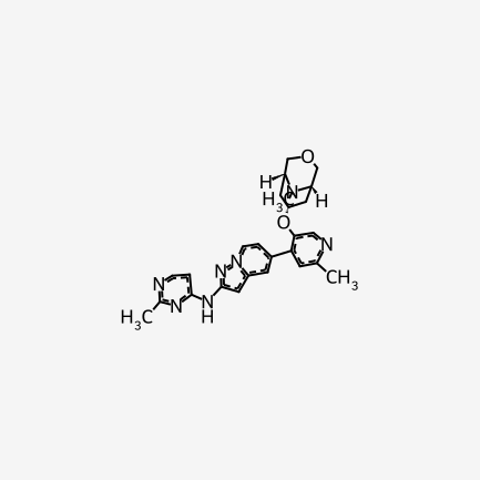 Cc1cc(-c2ccn3nc(Nc4ccnc(C)n4)cc3c2)c(O[C@H]2C[C@H]3COC[C@@H](C2)N3C)cn1